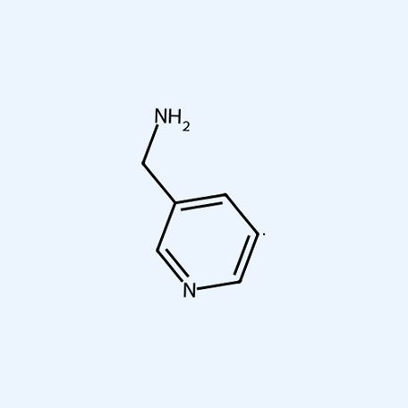 NCc1c[c]cnc1